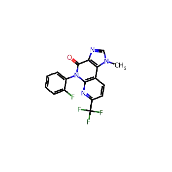 Cn1cnc2c(=O)n(-c3ccccc3F)c3nc(C(F)(F)F)ccc3c21